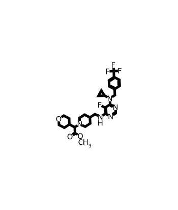 COC(=O)C(C1CCOCC1)N1CCC(CNc2ncnc(N(Cc3ccc(C(F)(F)F)cc3)C3CC3)c2F)CC1